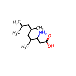 CC(C)CC(C)CC(C)C(N)CC(=O)O